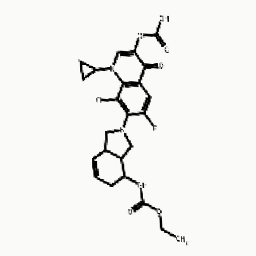 CCOC(=O)NC1CC=CC2CN(c3c(F)cc4c(=O)c(OC(=O)O)cn(C5CC5)c4c3Cl)CC21